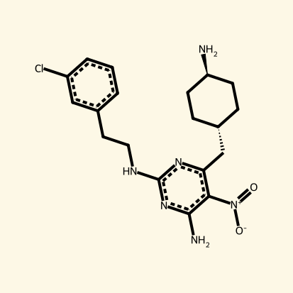 Nc1nc(NCCc2cccc(Cl)c2)nc(C[C@H]2CC[C@H](N)CC2)c1[N+](=O)[O-]